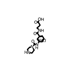 Cl.O=C(O)CCNC(=O)c1cccc(NC(=O)N2CCNCC2)c1